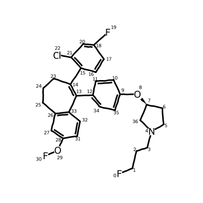 FCCCN1CC[C@H](Oc2ccc(C3=C(c4ccc(F)cc4Cl)CCCc4cc(OF)ccc43)cc2)C1